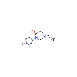 CC(C)CN1CCC(=O)N(c2ccc(I)nc2)CC1